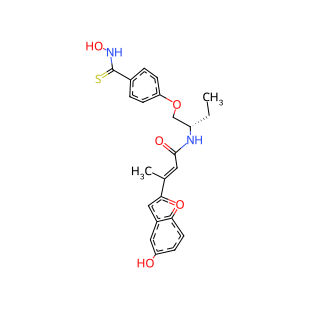 CC[C@@H](COc1ccc(C(=S)NO)cc1)NC(=O)/C=C(\C)c1cc2cc(O)ccc2o1